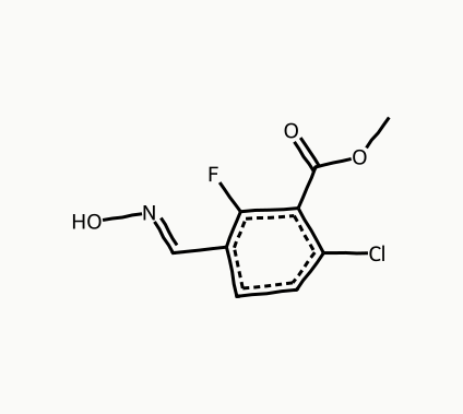 COC(=O)c1c(Cl)ccc(C=NO)c1F